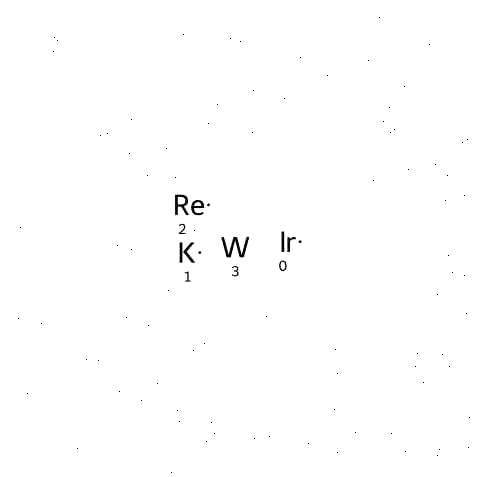 [Ir].[K].[Re].[W]